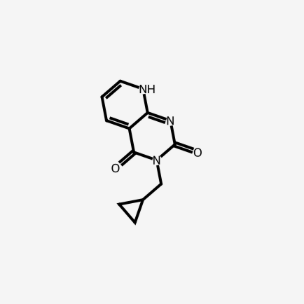 O=c1nc2[nH]cccc-2c(=O)n1CC1CC1